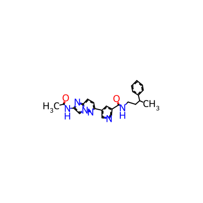 CC(=O)Nc1cn2nc(-c3cncc(C(=O)NCCC(C)c4ccccc4)c3)ccc2n1